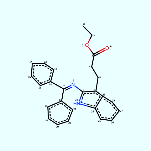 CCOC(=O)CCc1c(N=C(c2ccccc2)c2ccccc2)[nH]c2ccccc12